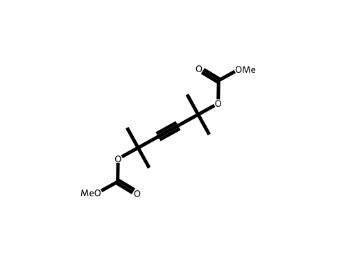 COC(=O)OC(C)(C)C#CC(C)(C)OC(=O)OC